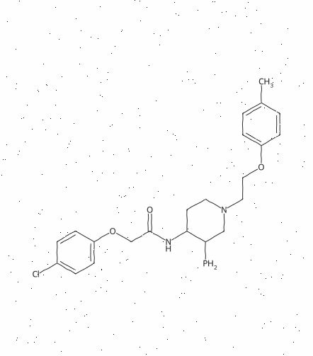 Cc1ccc(OCCN2CCC(NC(=O)COc3ccc(Cl)cc3)C(P)C2)cc1